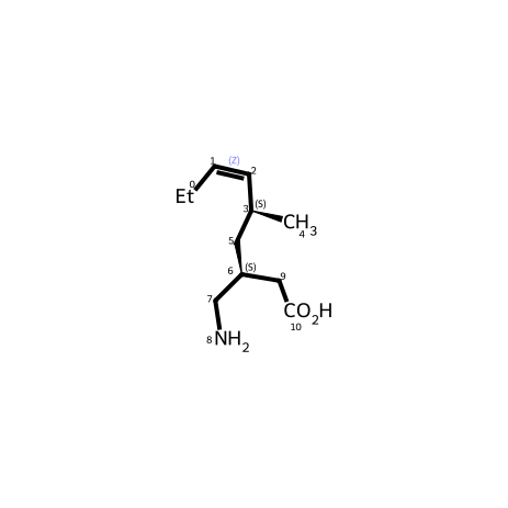 CC/C=C\[C@@H](C)C[C@H](CN)CC(=O)O